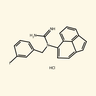 Cl.N=C(N)N(Cc1cccc(I)c1)c1ccc2c3c(cccc13)C=C2